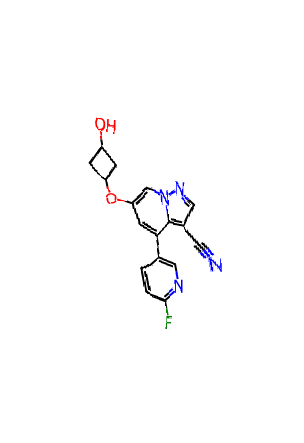 N#Cc1cnn2cc(OC3CC(O)C3)cc(-c3ccc(F)nc3)c12